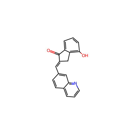 O=C1C(=Cc2ccc3cccnc3c2)Cc2c(O)cccc21